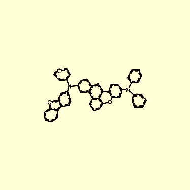 c1ccc(N(c2ccccc2)c2ccc3c(c2)Oc2cccc4c2c-3cc2ccc(N(c3ccccc3)c3ccc5c(c3)oc3ccccc35)cc24)cc1